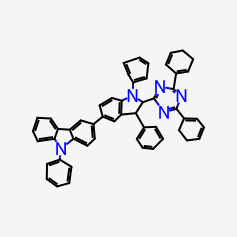 C1=CCCC(c2nc(C3=CCCC=C3)nc(C3C(c4ccccc4)c4cc(-c5ccc6c(c5)c5ccccc5n6-c5ccccc5)ccc4N3c3ccccc3)n2)=C1